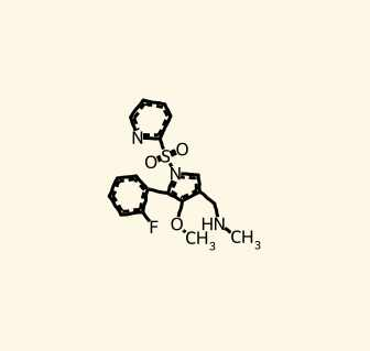 CNCc1cn(S(=O)(=O)c2ccccn2)c(-c2ccccc2F)c1OC